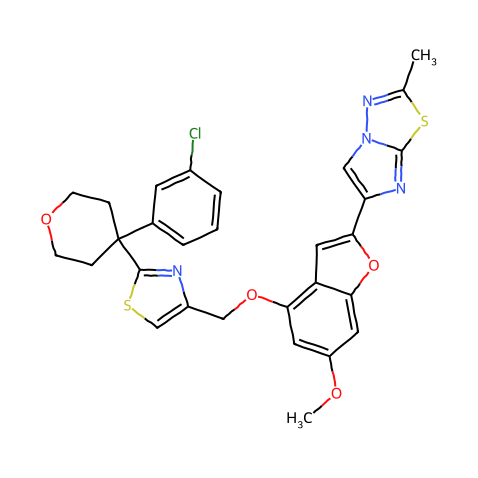 COc1cc(OCc2csc(C3(c4cccc(Cl)c4)CCOCC3)n2)c2cc(-c3cn4nc(C)sc4n3)oc2c1